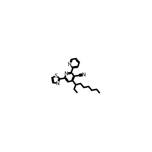 CCCCCCC(CC)c1cc(-c2nccs2)nc(-c2ccccn2)c1C#N